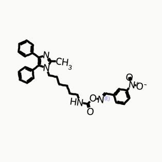 Cc1nc(-c2ccccc2)c(-c2ccccc2)n1CCCCCCNC(=O)O/N=C/c1cccc([N+](=O)[O-])c1